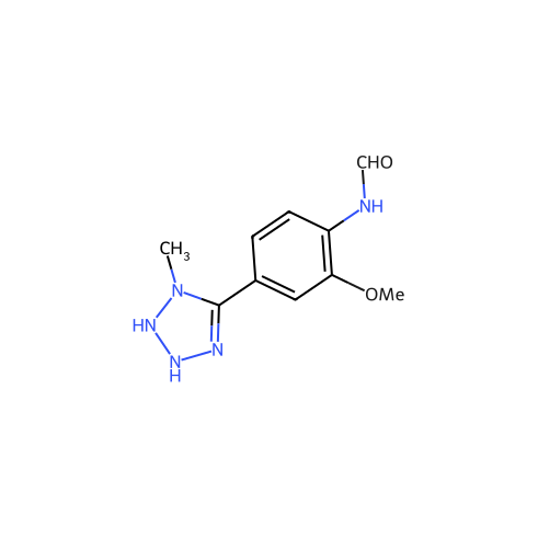 COc1cc(C2=NNNN2C)ccc1NC=O